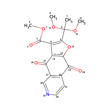 COC(=O)c1c(C(C)(OC)OC)oc2c1C(=O)c1cnccc1C2=O